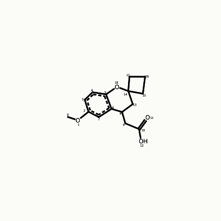 COc1ccc2c(c1)C(CC(=O)O)CC1(CCC1)O2